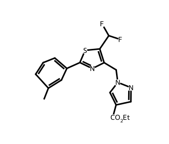 CCOC(=O)c1cnn(Cc2nc(-c3cccc(C)c3)sc2C(F)F)c1